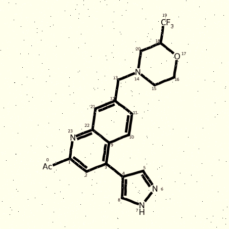 CC(=O)c1cc(-c2cn[nH]c2)c2ccc(CN3CCOC(C(F)(F)F)C3)cc2n1